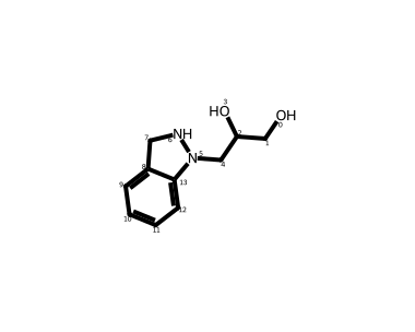 OCC(O)CN1NCc2ccccc21